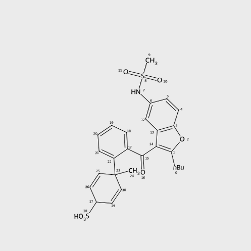 CCCCc1oc2ccc(NS(C)(=O)=O)cc2c1C(=O)c1ccccc1C1(C)C=CC(S(=O)(=O)O)C=C1